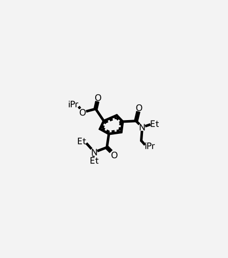 CCN(CC)C(=O)c1cc(C(=O)OC(C)C)cc(C(=O)N(CC)CC(C)C)c1